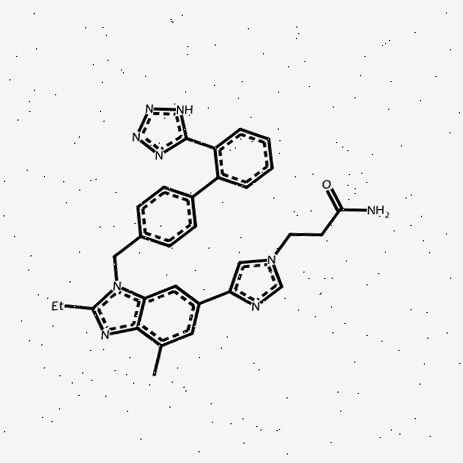 CCc1nc2c(C)cc(-c3cn(CCC(N)=O)cn3)cc2n1Cc1ccc(-c2ccccc2-c2nnn[nH]2)cc1